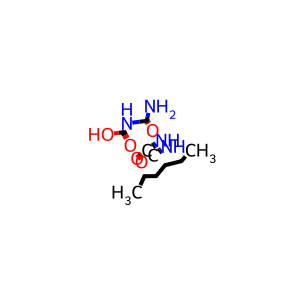 CCCCCC.N=C=O.N=C=O.NC(=O)NC(=O)O